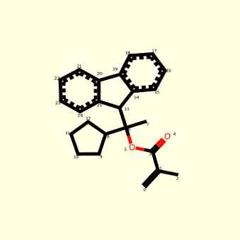 C=C(C)C(=O)OC(C)(C1CCCC1)C1c2ccccc2-c2ccccc21